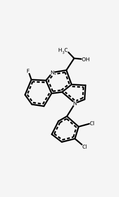 CC(O)c1nc2c(F)cccc2c2c1ccn2-c1cccc(Cl)c1Cl